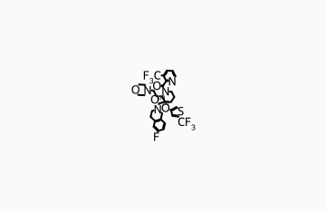 O=C(c1ncccc1C(F)(F)F)N1CCC[C@@](Oc2csc(C(F)(F)F)c2)(C(=O)N2CCc3cc(F)ccc3C2)[C@H]1CCN1CCOCC1